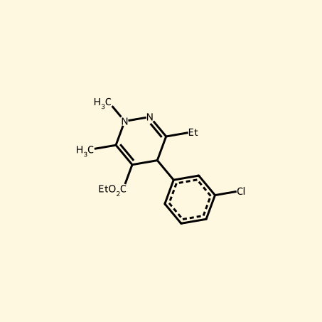 CCOC(=O)C1=C(C)N(C)N=C(CC)C1c1cccc(Cl)c1